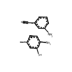 Cc1ccc(N)c(S)c1.N#Cc1cccc(N)c1